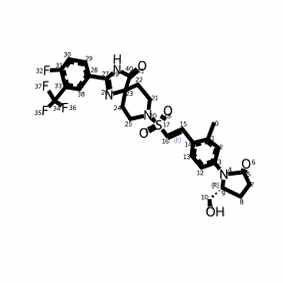 Cc1cc(N2C(=O)CC[C@@H]2CO)ccc1/C=C/S(=O)(=O)N1CCC2(CC1)N=C(c1ccc(F)c(C(F)(F)F)c1)NC2=O